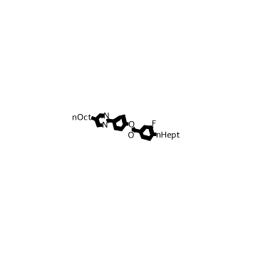 CCCCCCCCc1cnc(-c2ccc(OC(=O)c3ccc(CCCCCCC)c(F)c3)cc2)nc1